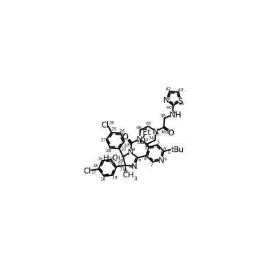 CCOc1cc(C(C)(C)C)ncc1C1=N[C@](C)(c2ccc(Cl)cc2)[C@@](C)(c2ccc(Cl)cc2)N1C(=O)N1CCN(C(=O)CNc2nccs2)CC1